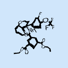 CCOC(=O)c1cc(C(=O)N[C@]2(c3ccc(OC(F)(F)F)c(F)c3)CCOc3cccnc32)cc(C(=O)OCC)c1